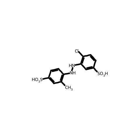 Cc1cc(S(=O)(=O)O)ccc1NNc1cc(S(=O)(=O)O)ccc1Cl